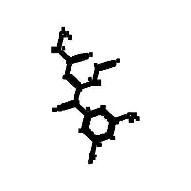 CNC(=O)/C=C(\NC=O)C(=O)c1cc(C)cc(Br)c1